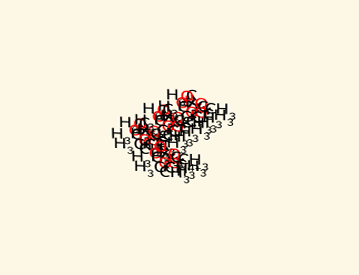 CCC(CC)(C(=O)[O-])C(=O)C(OC(C)(C)C)OC(C)(C)C.CCC(CC)(C(=O)[O-])C(=O)C(OC(C)(C)C)OC(C)(C)C.CCC(CC)(C(=O)[O-])C(=O)C(OC(C)(C)C)OC(C)(C)C.CCC(CC)(C(=O)[O-])C(=O)C(OC(C)(C)C)OC(C)(C)C.[Ti+4]